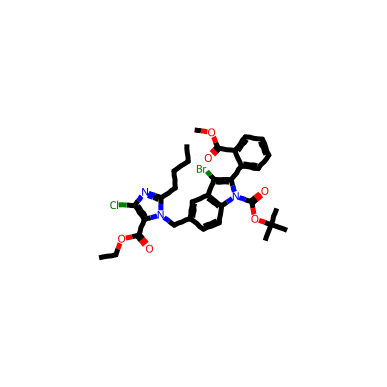 CCCCc1nc(Cl)c(C(=O)OCC)n1Cc1ccc2c(c1)c(Br)c(-c1ccccc1C(=O)OC)n2C(=O)OC(C)(C)C